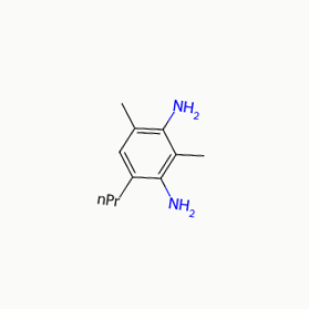 CCCc1cc(C)c(N)c(C)c1N